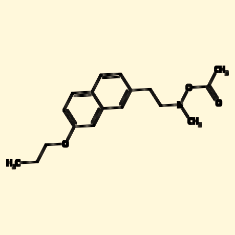 CCCOc1ccc2ccc(CCN(C)OC(C)=O)cc2c1